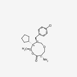 C[C@@H]1OC(=O)[C@@H](N)COC[C@H](Cc2ccc(Cl)cc2)[C@H]1C1CCCC1